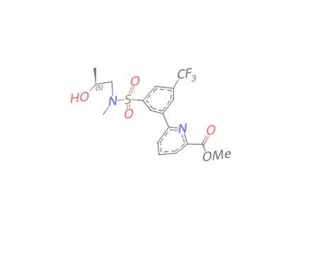 COC(=O)c1cccc(-c2cc(C(F)(F)F)cc(S(=O)(=O)N(C)C[C@H](C)O)c2)n1